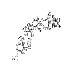 CCCc1ccc2c(F)c(-c3cc(F)c(C(F)(F)Oc4cc(F)c(-c5cc(F)c(C(F)(F)OC(F)(F)F)c(F)c5)c(F)c4)c(F)c3)c(F)cc2c1